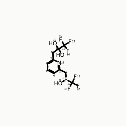 OP(Cc1cccc(CC(O)(O)C(F)(F)F)n1)C(F)(F)F